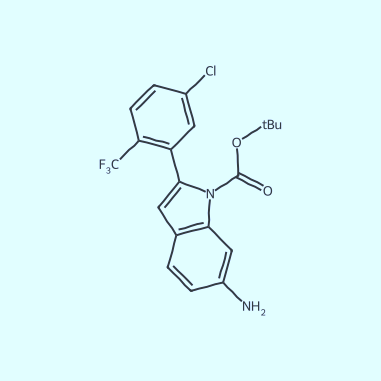 CC(C)(C)OC(=O)n1c(-c2cc(Cl)ccc2C(F)(F)F)cc2ccc(N)cc21